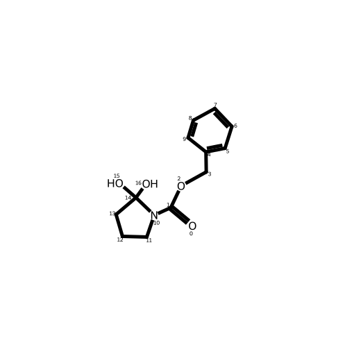 O=C(OCc1ccccc1)N1CCCC1(O)O